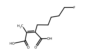 C/C(C(=O)O)=C(\CCCCCF)C(=O)O